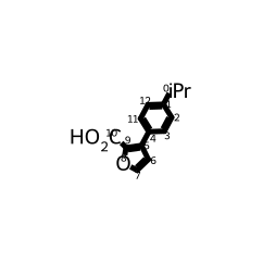 CC(C)c1ccc(-c2ccoc2C(=O)O)cc1